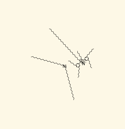 CCCCCCCCCCCCCCCCCCCCCCCCCC1=C(c2cc(CCCCC)cc(CCCCCC)c2)[N+](=[N-])C(c2cc(CCCCC)cc(CCCCCC)c2)=C1CCCCC.CCCCCCCCCCCCCCCCCCC[CH2][Ni][CH2]CCCCCCCCCCCCCCCCCCC